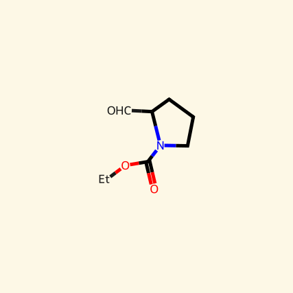 CCOC(=O)N1CCCC1C=O